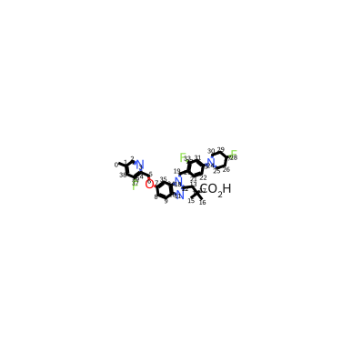 Cc1cnc(COc2ccc3nc(CC(C)(C)C(=O)O)n(Cc4ccc(N5CCC(F)CC5)cc4F)c3c2)c(F)c1